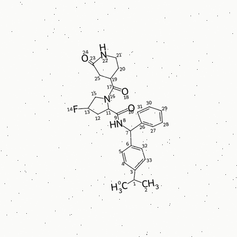 CC(C)c1ccc(C(NC(=O)C2CC(F)CN2C(=O)C2CCNC(=O)C2)c2ccccc2)cc1